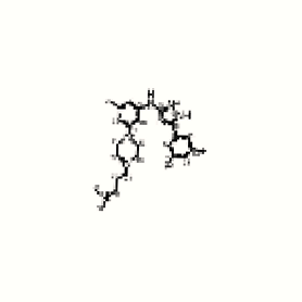 Cc1cc(Nc2n[nH]c(-c3cc(F)cc(F)c3)n2)cc(N2CCN(CCCN(C)C)CC2)c1